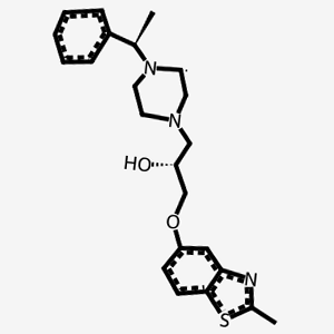 Cc1nc2cc(OC[C@H](O)CN3C[CH]N([C@H](C)c4ccccc4)CC3)ccc2s1